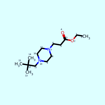 CCOC(=O)CCN1CCN(CC(C)(C)C)CC1